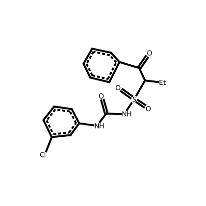 CCC(C(=O)c1ccccc1)S(=O)(=O)NC(=O)Nc1cccc(Cl)c1